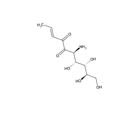 C/C=C/C(=O)C(=O)[C@@H](N)[C@@H](O)[C@H](O)[C@H](O)CO